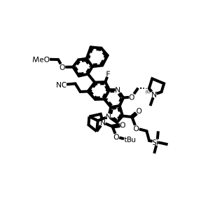 COCOc1cc(-c2c(CCC#N)cc3c(nc(OC[C@@H]4CCCN4C)c4c(C(=O)OCC[Si](C)(C)C)cn(C5C6CC5N(C(=O)OC(C)(C)C)C6)c43)c2F)c2ccccc2c1